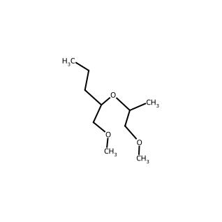 CCCC(COC)OC(C)COC